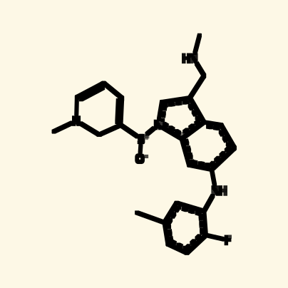 CNCc1cn([S+]([O-])C2=CC=CN(C)C2)c2cc(Nc3cc(C)ccc3F)ccc12